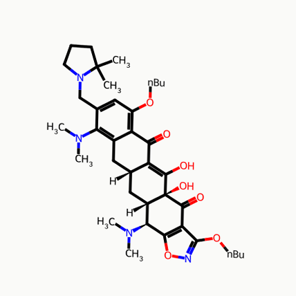 CCCCOc1cc(CN2CCCC2(C)C)c(N(C)C)c2c1C(=O)C1=C(O)[C@]3(O)C(=O)c4c(OCCCC)noc4[C@@H](N(C)C)[C@@H]3C[C@@H]1C2